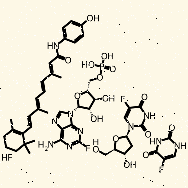 CC1=C(/C=C/C(C)=C/C=C/C(C)=C/C(=O)Nc2ccc(O)cc2)C(C)(C)CCC1.F.Nc1nc(F)nc2c1ncn2[C@@H]1O[C@H](COP(=O)(O)O)[C@@H](O)[C@@H]1O.O=c1[nH]c(=O)n([C@H]2C[C@H](O)[C@@H](CO)O2)cc1F.O=c1[nH]cc(F)c(=O)[nH]1